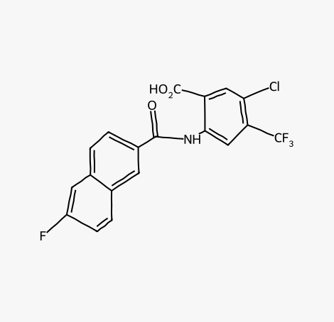 O=C(Nc1cc(C(F)(F)F)c(Cl)cc1C(=O)O)c1ccc2cc(F)ccc2c1